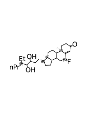 CCC[C@@H](CC)C(O)C(O)CC[C@H]1CCC2C3C[C@H](F)C4=CC(=O)CC[C@]4(C)C3CC[C@@]21C